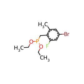 CCOP(Cc1c(C)cc(Br)cc1F)OCC